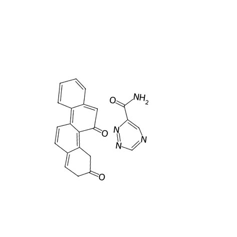 NC(=O)c1cncnn1.O=C1CC=c2ccc3c(c2C1)C(=O)C=c1ccccc1=3